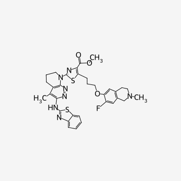 COC(=O)c1nc(N2CCCc3c2nnc(Nc2nc4ccccc4s2)c3C)sc1CCCOc1cc2c(cc1F)CN(C)CC2